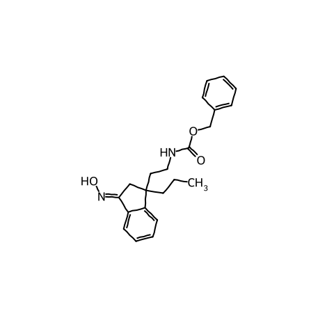 CCCC1(CCNC(=O)OCc2ccccc2)CC(=NO)c2ccccc21